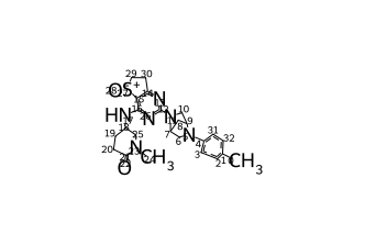 Cc1ccc(N2CC3CC2CN3c2nc3c(c(N[C@H]4CCC(=O)N(C)C4)n2)[S+]([O-])CC3)cc1